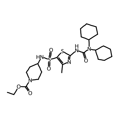 CCOC(=O)N1CCC(NS(=O)(=O)c2sc(NC(=O)N(C3CCCCC3)C3CCCCC3)nc2C)CC1